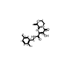 C=C1OCCn2c1nc(C(=O)NCc1cc(C)ccc1C)c(O)c2=O